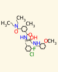 CCCN(CCC)C(=O)c1cc(C)cc(C(=O)N[C@@H](Cc2ccc(Cl)c(F)c2)[C@H](O)CNCc2cccc(OC)c2)c1